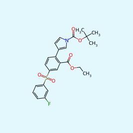 CCOC(=O)c1cc(S(=O)(=O)c2cccc(F)c2)ccc1-c1ccn(C(=O)OC(C)(C)C)c1